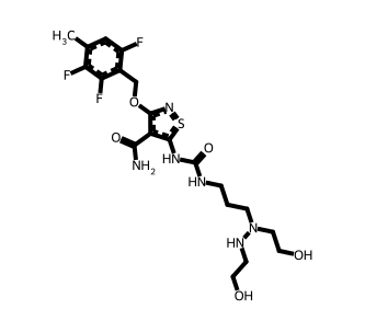 Cc1cc(F)c(COc2nsc(NC(=O)NCCCN(CCO)NCCO)c2C(N)=O)c(F)c1F